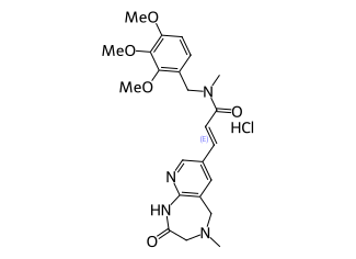 COc1ccc(CN(C)C(=O)/C=C/c2cnc3c(c2)CN(C)CC(=O)N3)c(OC)c1OC.Cl